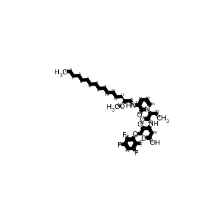 CCCCCCCCCCCCCC[C@@H](CNc1cccn(C(CC)C(=O)NC(CC(=O)O)C(=O)COc2c(F)c(F)cc(F)c2F)c1=O)OC